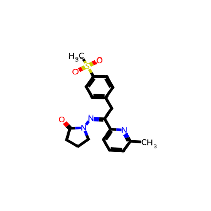 Cc1cccc(C(Cc2ccc(S(C)(=O)=O)cc2)=NN2CCCC2=O)n1